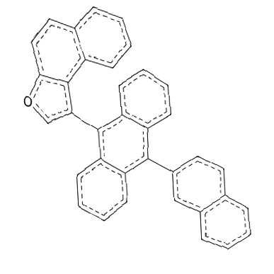 c1ccc2cc(-c3c4ccccc4c(-c4coc5ccc6ccccc6c45)c4ccccc34)ccc2c1